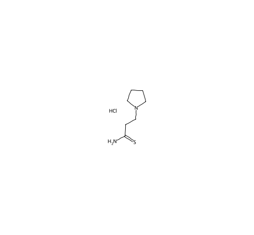 Cl.NC(=S)CCN1CCCC1